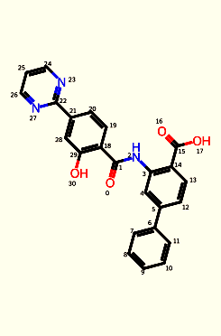 O=C(Nc1cc(-c2ccccc2)ccc1C(=O)O)c1ccc(-c2ncccn2)cc1O